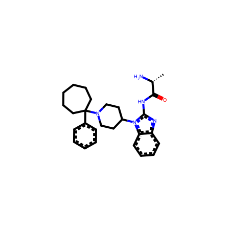 C[C@@H](N)C(=O)Nc1nc2ccccc2n1C1CCN(C2(c3ccccc3)CCCCCC2)CC1